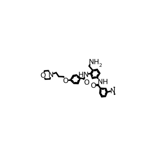 CN(C)c1cccc(C(=O)Nc2ccc(CN)c(NC(=O)c3ccc(OCCCN4CCOCC4)cc3)c2)c1